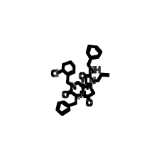 C=CCN(C(=O)NCc1ccccc1)N1CC(=O)N2[C@@H](Cc3ccccc3)C(=O)N(CC3=CCCCC3Cl)C[C@@H]21